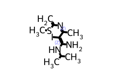 C=C(/N=C(C)\C(I)=C(/N)NC(C)C)SC